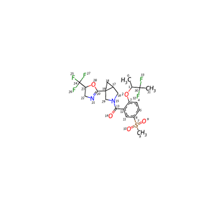 CC(Oc1ccc(S(C)(=O)=O)cc1C(=O)N1CC2CC2(C2=NCC(C(F)(F)F)O2)C1)C(C)(F)F